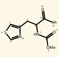 COC(=O)NC(Cc1cscn1)C(=O)C(C)C